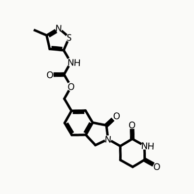 Cc1cc(NC(=O)OCc2ccc3c(c2)C(=O)N(C2CCC(=O)NC2=O)C3)sn1